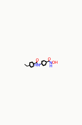 CCc1ccc(C(=O)Nc2ccc(C(=O)NO)cc2)cc1